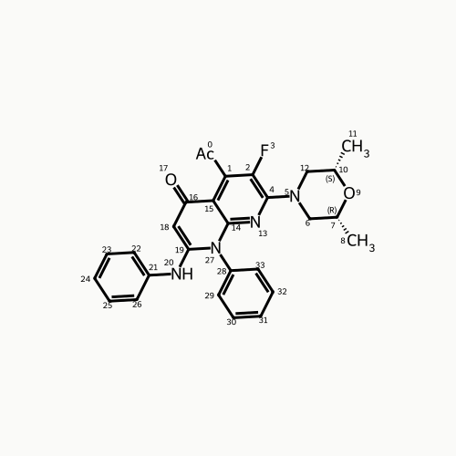 CC(=O)c1c(F)c(N2C[C@@H](C)O[C@@H](C)C2)nc2c1c(=O)cc(Nc1ccccc1)n2-c1ccccc1